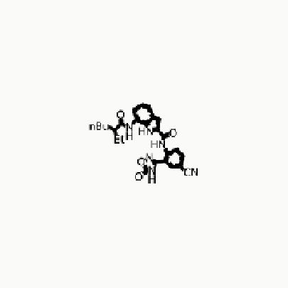 CCCCC(CC)C(=O)Nc1cccc2cc(C(=O)Nc3ccc(C#N)cc3-c3noc(=O)[nH]3)[nH]c12